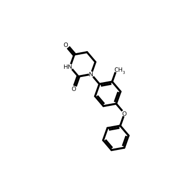 Cc1cc(Oc2ccccc2)ccc1N1CCC(=O)NC1=O